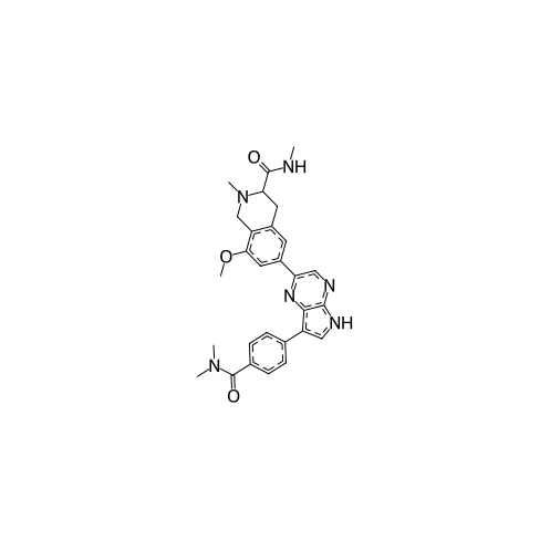 CNC(=O)C1Cc2cc(-c3cnc4[nH]cc(-c5ccc(C(=O)N(C)C)cc5)c4n3)cc(OC)c2CN1C